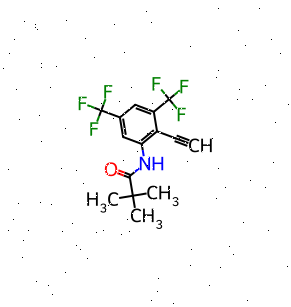 C#Cc1c(NC(=O)C(C)(C)C)cc(C(F)(F)F)cc1C(F)(F)F